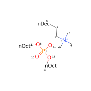 CCCCCCCCCCCC[N+](C)(C)C.CCCCCCCCOP(=O)([O-])OCCCCCCCC